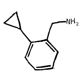 NCc1c[c]ccc1C1CC1